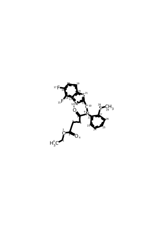 CCOC(=O)CCC(=O)N(Cc1nc2c(F)c(F)ccc2s1)c1ccccc1SC